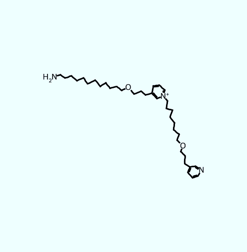 NCCCCCCCCCCCCOCCCc1ccc[n+](CCCCCCCCOCCCc2cccnc2)c1